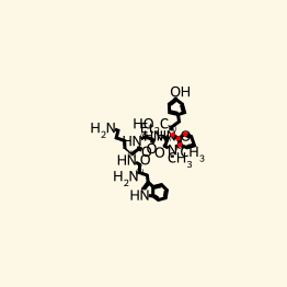 CC[C@H](NC(=O)[C@H](CCCCN)NC(=O)[C@H](N)Cc1c[nH]c2ccccc12)C(=O)N[C@@H](Cc1ccccc1)C(=O)N(C)[C@@H](C)C(=O)N[C@@H](Cc1ccc(O)cc1)C(=O)O